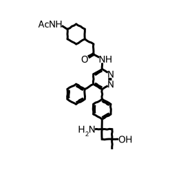 CC(=O)NC1CCC(CC(=O)Nc2cc(-c3ccccc3)c(-c3ccc(C4(N)CC(C)(O)C4)cc3)nn2)CC1